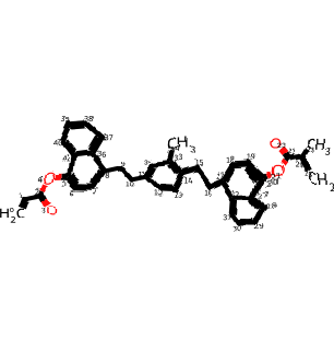 C=CC(=O)Oc1ccc(CCc2ccc(CCc3ccc(OC(=O)C(=C)C)c4ccccc34)c(C)c2)c2ccccc12